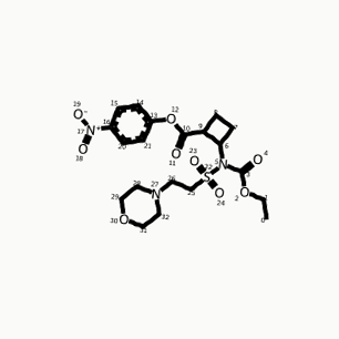 CCOC(=O)N(C1CCC1C(=O)Oc1ccc([N+](=O)[O-])cc1)S(=O)(=O)CCN1CCOCC1